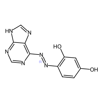 Oc1ccc(/N=N/c2ncnc3[nH]cnc23)c(O)c1